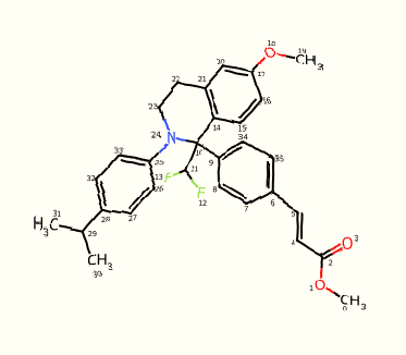 COC(=O)C=Cc1ccc(C2(C(F)F)c3ccc(OC)cc3CCN2c2ccc(C(C)C)cc2)cc1